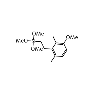 COc1ccc(C)c(CC[Si](OC)(OC)OC)c1C